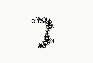 CNC(=O)C(CCC=O)N1Cc2c(CCCCCN3CCC(C#N)(c4ccc(OC5COC5)cc4)CC3)cccc2C1=O